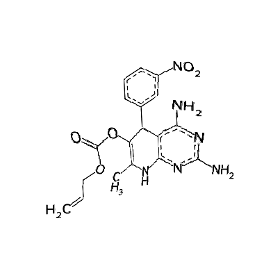 C=CCOC(=O)OC1=C(C)Nc2nc(N)nc(N)c2C1c1cccc([N+](=O)[O-])c1